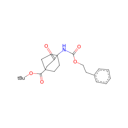 CC(C)(C)OC(=O)C12CCC(NC(=O)OCCc3ccccc3)(CC1)C(=O)C2